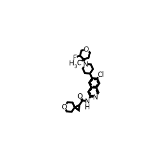 CC1(N2CCC(c3cc4cc(NC(=O)C5CC56CCOCC6)ncc4cc3Cl)CC2)CCOCC1F